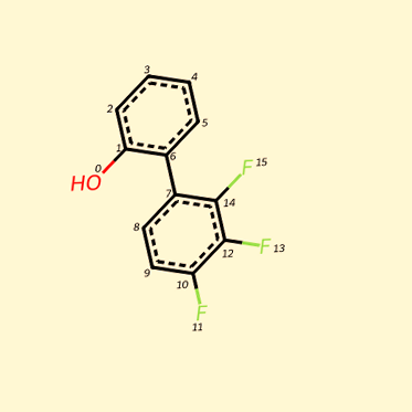 Oc1ccccc1-c1ccc(F)c(F)c1F